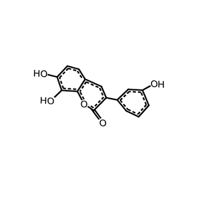 O=c1oc2c(O)c(O)ccc2cc1-c1cccc(O)c1